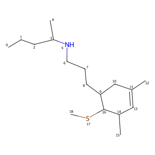 CCCC(C)NCCCC1CC(C)=CC(C)C1SC